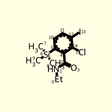 CCNC(=O)c1c([Si](C)(C)C)ccc(I)c1Cl